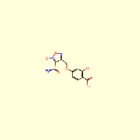 NC(=O)c1c(COc2ccc(C(=O)O)c(O)c2)no[n+]1[O-]